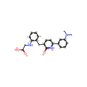 CN(C)c1cccc(-c2ccc(Cc3ccccc3NCC(=O)O)c(=O)[nH]2)c1